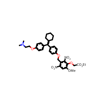 CCOC(=O)COc1c(OC)cc([N+](=O)[O-])c(COc2ccc(C(=C3CCCCC3)c3ccc(OCCN(C)C)cc3)cc2)c1[N+](=O)[O-]